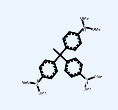 CO[SiH](OC)c1ccc(C(C)(c2ccc([SiH](OC)OC)cc2)c2ccc([SiH](OC)OC)cc2)cc1